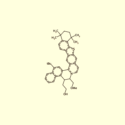 COCC1C(CCO)c2c(cc(C(C)(C)C)c3ccccc23)-c2c3cc4c(cc3cc[n+]21)sc1c2c(ccc14)C(C)(C)CCC2(C)C